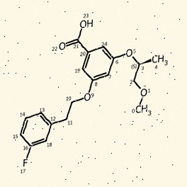 COC[C@H](C)Oc1cc(OCCc2cccc(F)c2)cc(C(=O)O)c1